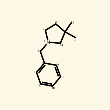 [CH2]C1(C)CCN(Cc2ccccc2)C1